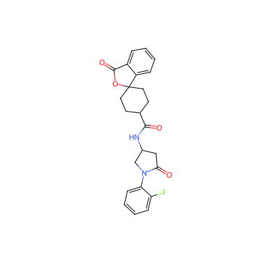 O=C1OC2(CCC(C(=O)NC3CC(=O)N(c4ccccc4F)C3)CC2)c2ccccc21